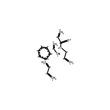 C=CC#N.C=CC=C.C=CCOC(=O)C=C.c1ccccc1